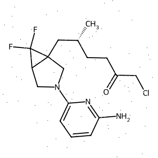 C[C@H](CCC(=O)CCl)CC12CN(c3cccc(N)n3)CC1C2(F)F